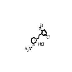 CCOc1ccc(Cl)cc1CCN1CCC[C@@H](CN)C1.Cl